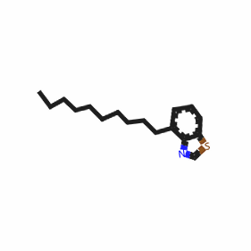 CCCCCCCCCCc1cccc2s[c]nc12